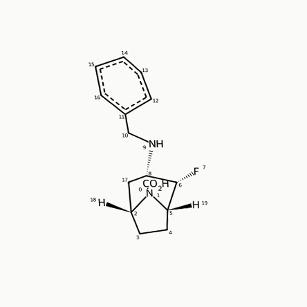 O=C(O)N1[C@@H]2CC[C@H]1[C@@H](F)[C@@H](NCc1ccccc1)C2